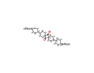 CCCCCCCCCC1CCC(C2CCC3(CC2)C(=O)C2(CCC(C4CCC(CCCCCCCCC)CC4)CC2)C3=O)CC1